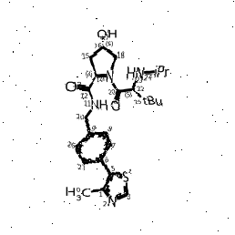 Cc1ncsc1-c1ccc(CNC(=O)[C@H]2C[C@H](O)CN2C(=O)[C@@H](NC(C)C)C(C)(C)C)cc1